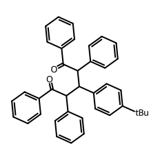 CC(C)(C)c1ccc(C(C(C(=O)c2ccccc2)c2ccccc2)C(C(=O)c2ccccc2)c2ccccc2)cc1